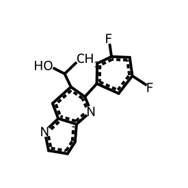 CC(O)c1cc2ncccc2nc1-c1cc(F)cc(F)c1